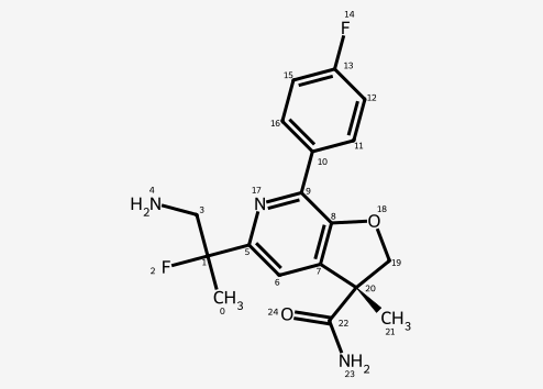 CC(F)(CN)c1cc2c(c(-c3ccc(F)cc3)n1)OC[C@]2(C)C(N)=O